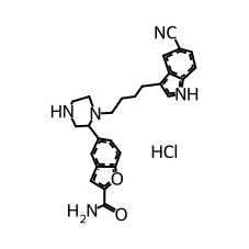 Cl.N#Cc1ccc2[nH]cc(CCCCN3CCNCC3c3ccc4oc(C(N)=O)cc4c3)c2c1